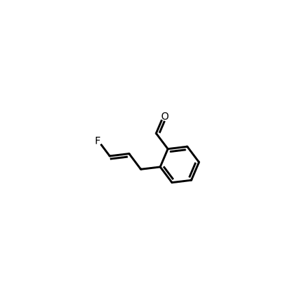 O=Cc1ccccc1CC=CF